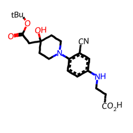 CC(C)(C)OC(=O)CC1(O)CCN(c2ccc(NCCC(=O)O)cc2C#N)CC1